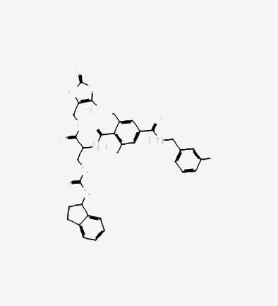 Cc1oc(=O)oc1COC(=O)C(CNC(=O)NC1CCc2ccccc21)NC(=O)c1c(Cl)cc(C(=O)NCc2cccc(Cl)c2)cc1Cl